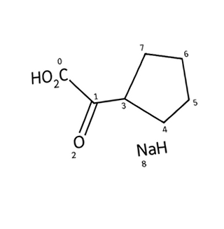 O=C(O)C(=O)C1CCCC1.[NaH]